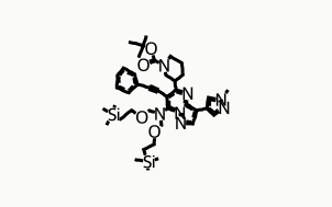 Cn1cc(-c2cnn3c(N(COCC[Si](C)(C)C)COCC[Si](C)(C)C)c(C#Cc4ccccc4)c(C4CCCN(C(=O)OC(C)(C)C)C4)nc23)cn1